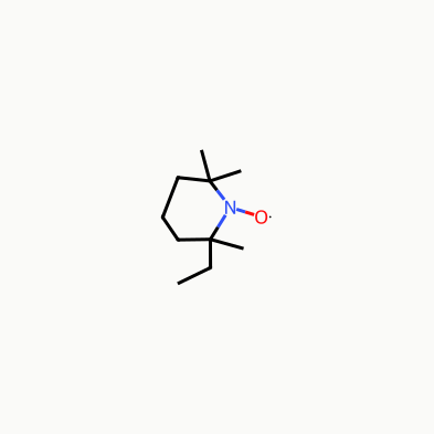 CCC1(C)CCCC(C)(C)N1[O]